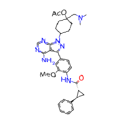 COc1cc(-c2nn(C3CCC(CN(C)C)(OC(C)=O)CC3)c3ncnc(N)c23)ccc1NC(=O)[C@@H]1C[C@H]1c1ccccc1